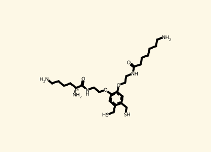 NCCCCCCC(=O)NCCOc1cc(CS)c(CS)cc1OCCNC(=O)[C@@H](N)CCCCN